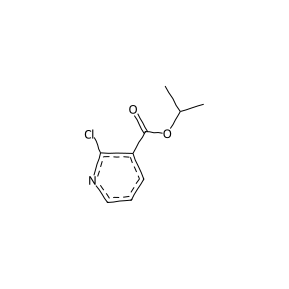 CC(C)OC(=O)c1cccnc1Cl